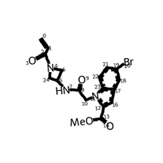 C=CC(=O)N1CC(NC(=O)Cn2c(C(=O)OC)cc3cc(Br)ccc32)C1